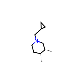 C[C@@H]1CCN(CC2CC2)C[C@@H]1C